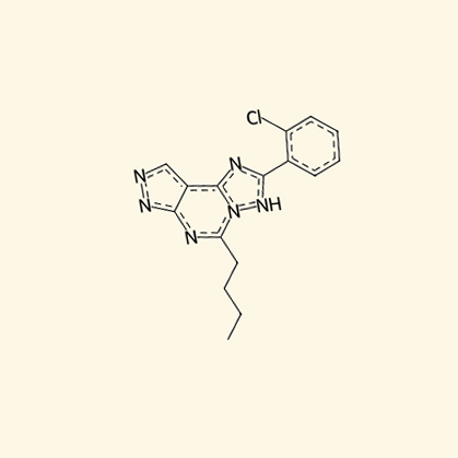 CCCCc1nc2nncc-2c2nc(-c3ccccc3Cl)[nH]n12